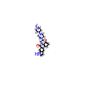 CN1CCC(N2CCN(C(=O)CN(C(=O)c3ccc4cc[nH]c4c3)c3ccccc3)CC2)CC1